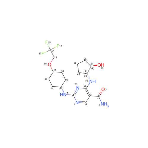 NC(=O)c1cnc(NC2CCC(OCC(F)(F)F)CC2)nc1N[C@@H]1CCC[C@H]1O